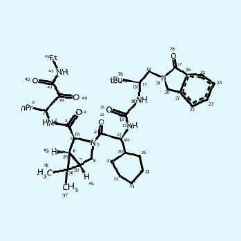 CCCC(NC(=O)[C@@H]1[C@@H]2[C@H](CN1C(=O)[C@@H](NC(=O)N[C@H](CN1Cc3ccccc3C1=O)C(C)(C)C)C1CCCCC1)C2(C)C)C(=O)C(=O)NCC